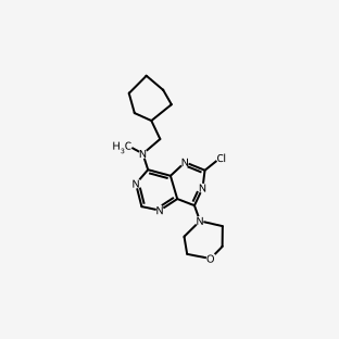 CN(CC1CCCCC1)c1ncnc2c(N3CCOCC3)nc(Cl)nc12